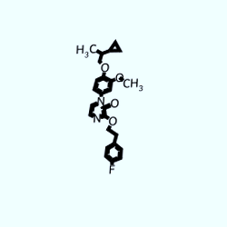 COc1cc(-n2ccnc(OCCc3ccc(F)cc3)c2=O)ccc1OCC(C)C1CC1